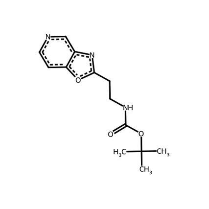 CC(C)(C)OC(=O)NCCc1nc2cnccc2o1